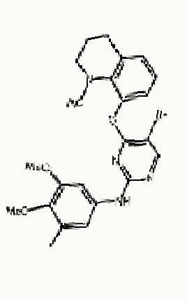 COc1cc(Nc2ncc(Br)c(Oc3cccc4c3N(C(C)=O)CCC4)n2)cc(C)c1OC